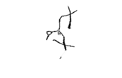 CO[SiH](CC(C)(C)C)CC(C)(C)C